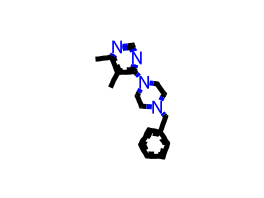 Cc1ncnc(N2CCN(Cc3ccccc3)CC2)c1C